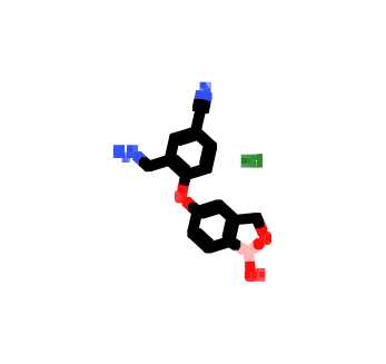 Cl.N#Cc1ccc(Oc2ccc3c(c2)COB3O)c(CN)c1